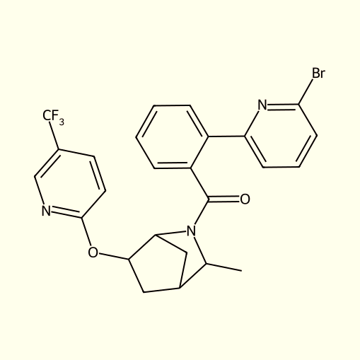 CC1C2CC(Oc3ccc(C(F)(F)F)cn3)C(C2)N1C(=O)c1ccccc1-c1cccc(Br)n1